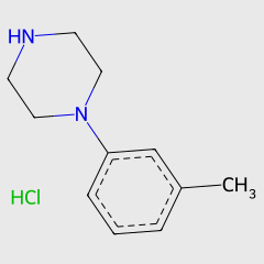 Cc1cccc(N2CCNCC2)c1.Cl